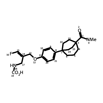 CNC(=O)C12CCCC(c3ccc(OCC(=CF)CNC(=O)O)cc3)(CC1)CC2